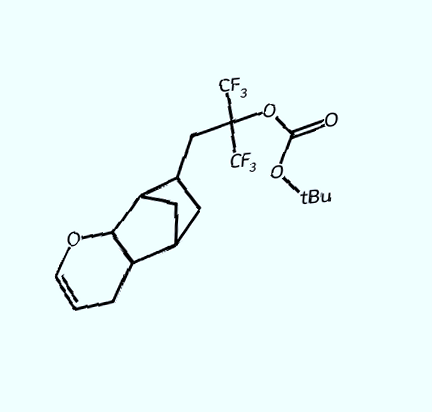 CC(C)(C)OC(=O)OC(CC1CC2CC1C1OC=CCC21)(C(F)(F)F)C(F)(F)F